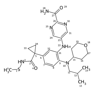 CSNC(=O)C1(c2ccc(N(CC(C)C)C3CCOCC3)c(Nc3cnc(C(N)=O)nc3)c2)CC1